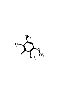 Cc1c(N)c(N)cc(OC(F)(F)F)c1N